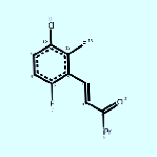 CC(C)C(=O)/C=C/c1c(F)ccc(Cl)c1F